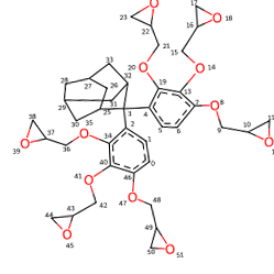 c1cc(C2(c3ccc(OCC4CO4)c(OCC4CO4)c3OCC3CO3)C3CC4CC(C3)CC2C4)c(OCC2CO2)c(OCC2CO2)c1OCC1CO1